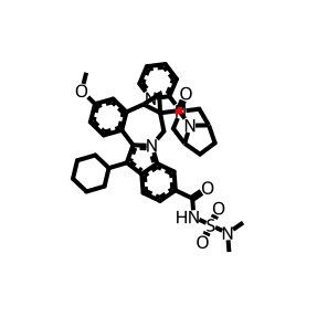 COc1ccc2c(c1)C1CC1(C(=O)N1C3CCC1CN(c1ccccn1)C3)Cn1c-2c(C2CCCCC2)c2ccc(C(=O)NS(=O)(=O)N(C)C)cc21